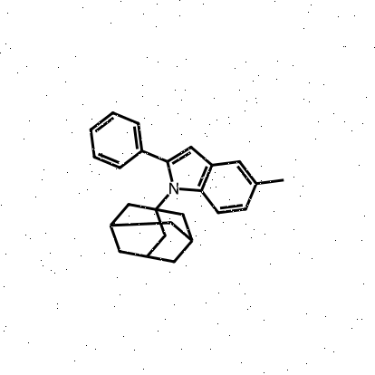 Cc1ccc2c(c1)cc(-c1ccccc1)n2C12CC3CC(CC(C3)C1)C2